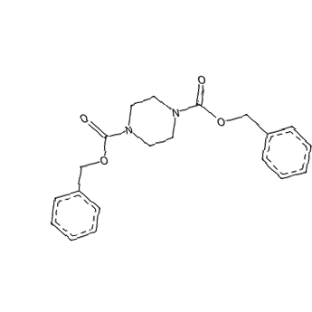 O=C(OCc1ccccc1)N1CCN(C(=O)OCc2ccccc2)CC1